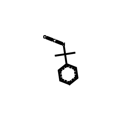 CC(C)(N=C=O)c1cc[c]cc1